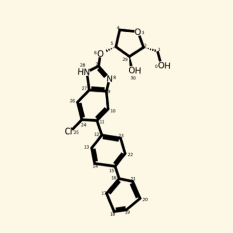 OC[C@H]1OC[C@@H](Oc2nc3cc(-c4ccc(-c5ccccc5)cc4)c(Cl)cc3[nH]2)[C@@H]1O